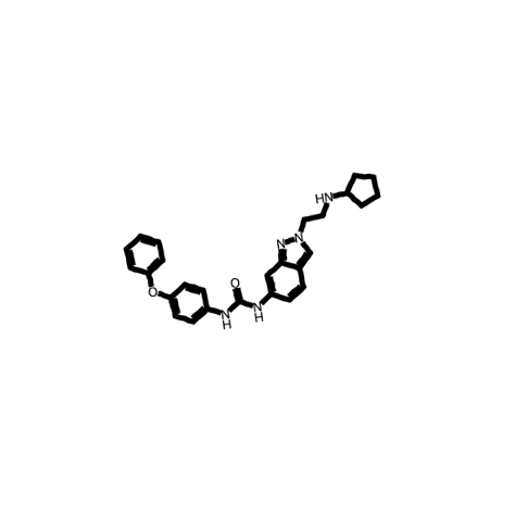 O=C(Nc1ccc(Oc2ccccc2)cc1)Nc1ccc2cn(CCNC3CCCC3)nc2c1